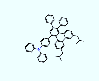 CC(C)Cc1ccc2c(c1)c1cc(CC(C)C)ccc1c1c(-c3ccccc3)c(-c3ccccc3)cc(-c3ccc(N(c4ccccc4)c4ccccc4)cc3)c21